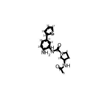 CC(=O)NC1CCN(C(=O)Nc2cc(-c3cccs3)ccc2N)C1